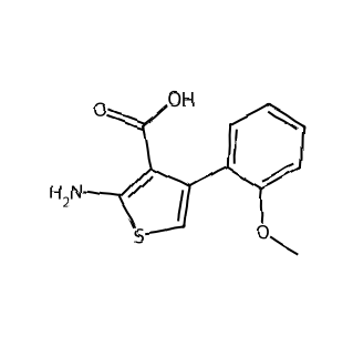 COc1ccccc1-c1csc(N)c1C(=O)O